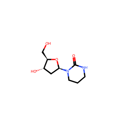 O=C1NCCCN1[C@H]1C[C@H](O)[C@@H](CO)O1